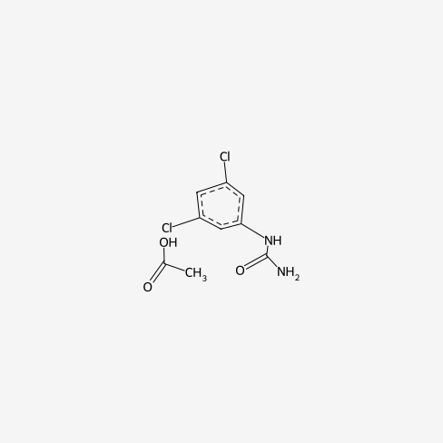 CC(=O)O.NC(=O)Nc1cc(Cl)cc(Cl)c1